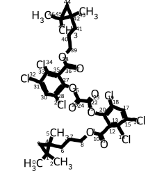 CC1(C)CC1(C)CCCOC(=O)c1c(Cl)c(Cl)cc(Cl)c1OC(=O)C(=O)Oc1c(Cl)cc(Cl)c(Cl)c1C(=O)OCCCC1(C)CC1(C)C